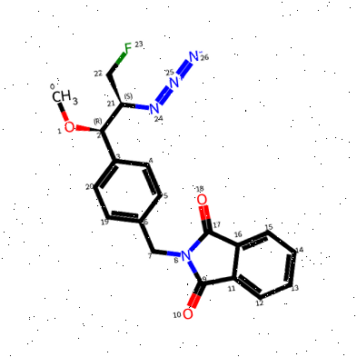 CO[C@H](c1ccc(CN2C(=O)c3ccccc3C2=O)cc1)[C@@H](CF)N=[N+]=[N-]